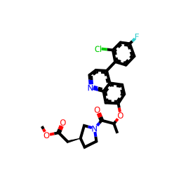 COC(=O)C[C@@H]1CCN(C(=O)C(C)Oc2ccc3c(-c4ccc(F)cc4Cl)ccnc3c2)C1